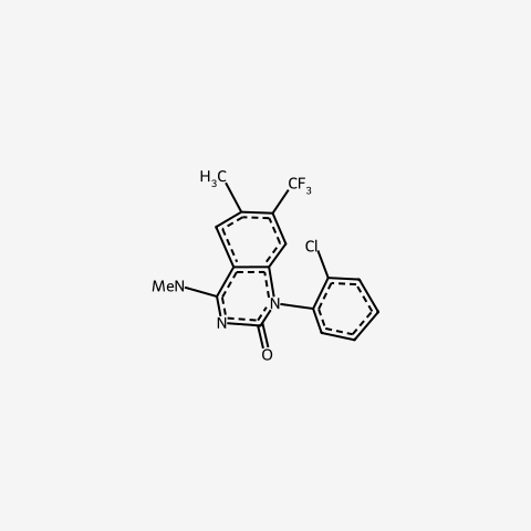 CNc1nc(=O)n(-c2ccccc2Cl)c2cc(C(F)(F)F)c(C)cc12